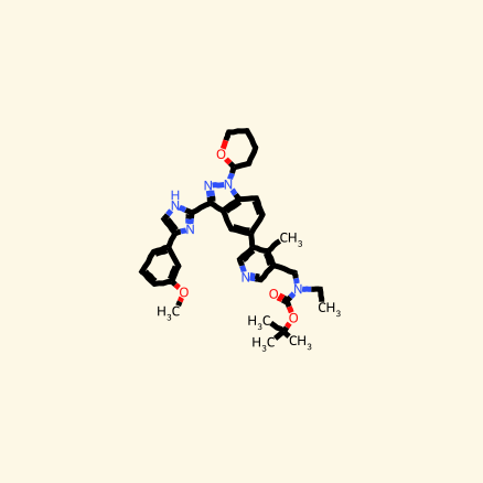 CCN(Cc1cncc(-c2ccc3c(c2)c(-c2nc(-c4cccc(OC)c4)c[nH]2)nn3C2CCCCO2)c1C)C(=O)OC(C)(C)C